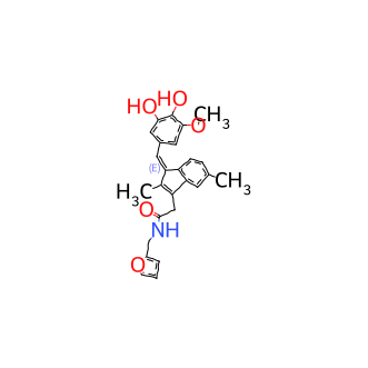 COc1cc(/C=C2/C(C)=C(CC(=O)NCc3ccco3)c3cc(C)ccc32)cc(O)c1O